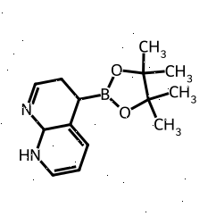 CC1(C)OB(C2CC=NC3NC=CC=C32)OC1(C)C